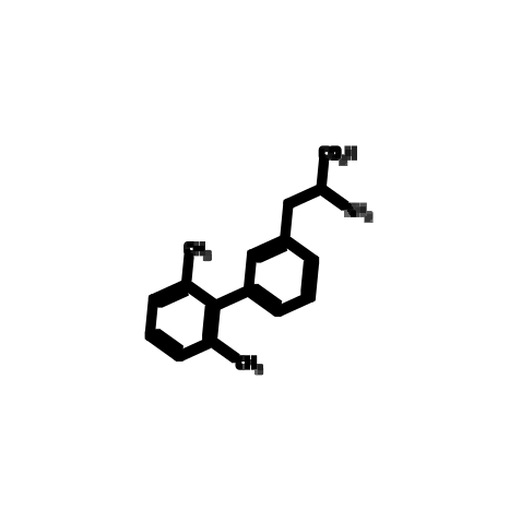 Cc1cccc(C)c1-c1cccc(CC(N)C(=O)O)c1